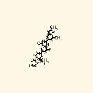 Cc1cc2cc(-c3nc(=O)n4cc(N5CCN(C(=O)OC(C)(C)C)C(C)(C)C5)cc(F)c4n3)cc(C)n2n1